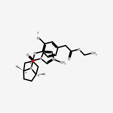 CCOC(=O)Cc1ccc(O[C@H]2C[C@H]3CC[C@@H](C2)N3C(=O)n2cc[n+](C)c2)c(Cl)c1.[I-]